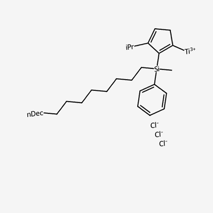 CCCCCCCCCCCCCCCCCC[Si](C)(C1=[C]([Ti+3])CC=C1C(C)C)c1ccccc1.[Cl-].[Cl-].[Cl-]